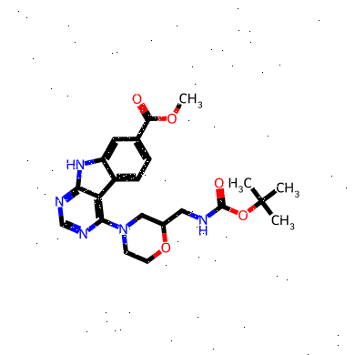 COC(=O)c1ccc2c(c1)[nH]c1ncnc(N3CCOC(CNC(=O)OC(C)(C)C)C3)c12